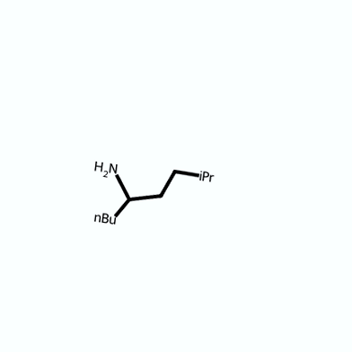 CCCCC(N)CCC(C)C